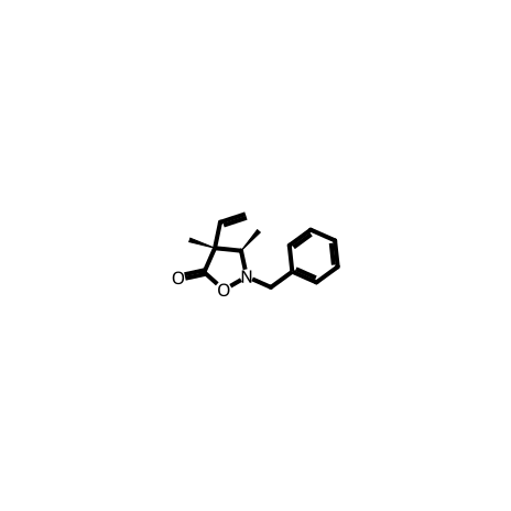 C=C[C@@]1(C)C(=O)ON(Cc2ccccc2)[C@@H]1C